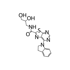 O=C(NCC(O)CO)c1nc2c(N3CCc4ccccc43)ncnc2s1